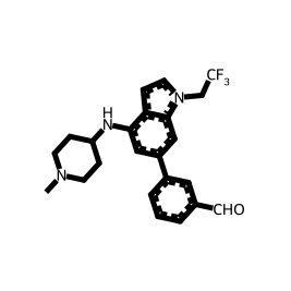 CN1CCC(Nc2cc(-c3cccc(C=O)c3)cc3c2ccn3CC(F)(F)F)CC1